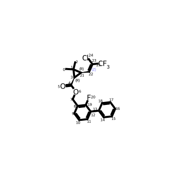 CC1(C)[C@H](C(=O)OCc2cccc(-c3ccccc3)c2F)[C@@H]1/C=C(\Cl)C(F)(F)F